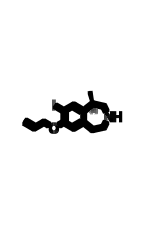 C=CCOc1cc2c(cc1I)[C@@H](C)CNCC2